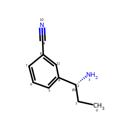 CC[C@@H](N)c1cccc(C#N)c1